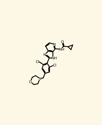 O=C(Nc1nccc2nc(-c3c(Cl)cc(CN4CCOCC4)cc3Cl)[nH]c12)C1CC1